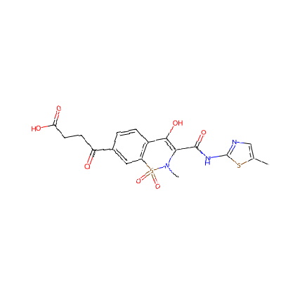 Cc1cnc(NC(=O)C2=C(O)c3ccc(C(=O)CCC(=O)O)cc3S(=O)(=O)N2C)s1